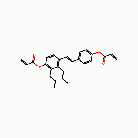 C=CC(=O)Oc1ccc(C=Cc2ccc(OC(=O)C=C)c(CCC)c2CCC)cc1